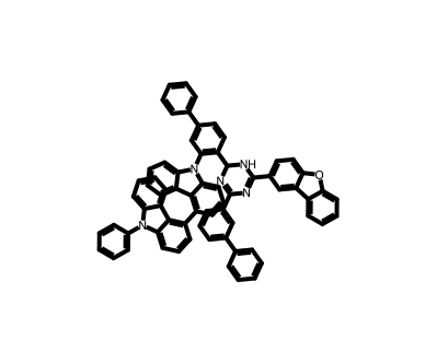 c1ccc(-c2cccc(C3=NC(c4ccc(-c5ccccc5)cc4-n4c5ccccc5c5c(-c6cccc7c6c6ccccc6n7-c6ccccc6)cccc54)NC(c4ccc5oc6ccccc6c5c4)=N3)c2)cc1